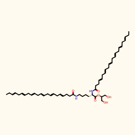 CCC=CCC=CCC=CCC=CCC=CCC=CCCC(=O)NCCCC[C@H](NC(=O)CCC=CCC=CCC=CCC=CCC=CCC=CCC)C(=O)OC(CO)CO